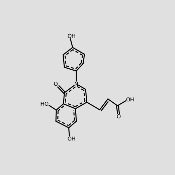 O=C(O)C=Cc1cn(-c2ccc(O)cc2)c(=O)c2c(O)cc(O)cc12